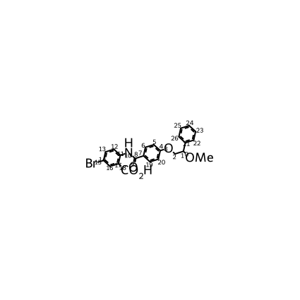 COC(COc1ccc(C(=O)Nc2ccc(Br)cc2C(=O)O)cc1)c1ccccc1